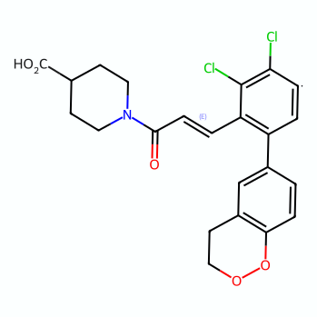 O=C(O)C1CCN(C(=O)/C=C/c2c(-c3ccc4c(c3)CCOO4)c[c]c(Cl)c2Cl)CC1